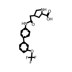 O=C(CC1CNC(C(=O)O)C1)Nc1ccc(-c2cccc(OC(F)(F)F)c2)cc1